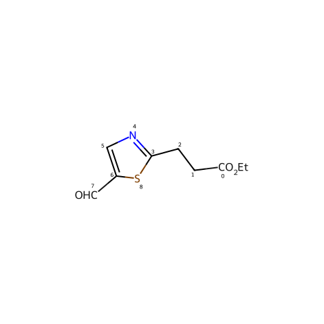 CCOC(=O)CCc1ncc(C=O)s1